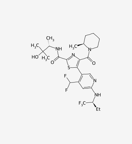 CC[C@H](Nc1cc(C(F)F)c(-c2sc(C(=O)N[C@@H](C)C(C)(C)O)nc2C(=O)N2CCCC[C@@H]2C)cn1)C(F)(F)F